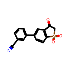 N#Cc1cccc(-c2ccc3c(c2)C(=O)CS3(=O)=O)c1